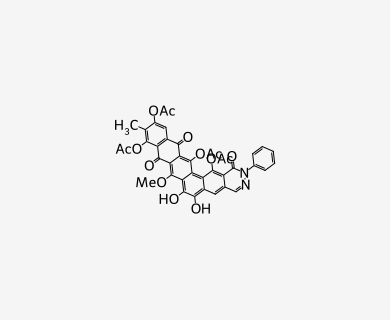 COc1c2c(c(OC(C)=O)c3c1c(O)c(O)c1cc4cnn(-c5ccccc5)c(=O)c4c(OC(C)=O)c13)C(=O)c1cc(OC(C)=O)c(C)c(OC(C)=O)c1C2=O